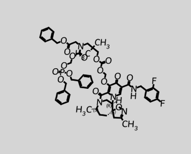 CC1=NO[C@@]2(CC[C@H](C)N3C[C@H]2n2cc(C(=O)NCc4ccc(F)cc4F)c(=O)c(OCOC(=O)OCC(C)(C)CN(CC(=O)OCc4ccccc4)C(=O)OCOP(=O)(OCc4ccccc4)OCc4ccccc4)c2C3=O)C1